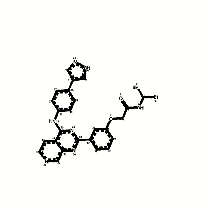 CCC(CC)NC(=O)COc1cccc(-c2nc(Nc3ccc(-c4cn[nH]c4)cc3)c3ccncc3n2)c1